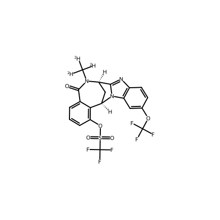 [2H]C([2H])([2H])N1C(=O)c2cccc(OS(=O)(=O)C(F)(F)F)c2[C@H]2C[C@@H]1c1nc3ccc(OC(F)(F)F)cc3n12